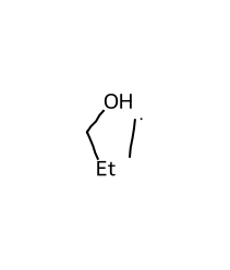 CCCO.[CH2]C